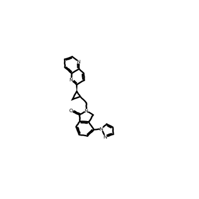 O=C1c2cccc(-n3cccn3)c2CN1CC1C[C@H]1c1ccc2ncccc2n1